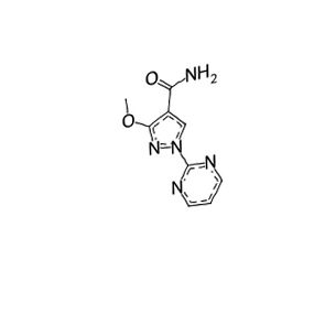 COc1nn(-c2ncccn2)cc1C(N)=O